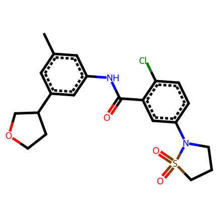 Cc1cc(NC(=O)c2cc(N3CCCS3(=O)=O)ccc2Cl)cc(C2CCOC2)c1